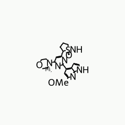 COc1cc(-c2nc(C3CCCS3(=N)=O)cc(N3CCOC[C@H]3C)n2)c2cc[nH]c2n1